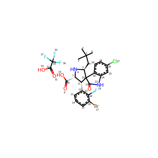 CC(C)(C)C[C@@H]1N[C@@H](C(=O)O)[C@@H](c2cccc(Br)c2F)C12C(=O)Nc1cc(Cl)ccc12.O=C(O)C(F)(F)F